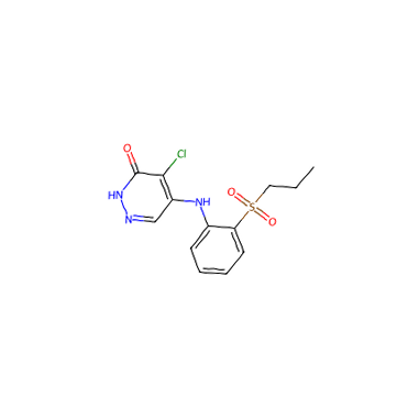 CCCS(=O)(=O)c1ccccc1Nc1cn[nH]c(=O)c1Cl